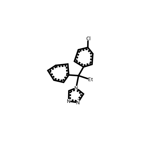 CCC(c1ccccc1)(c1ccc(Cl)cc1)n1cnnc1